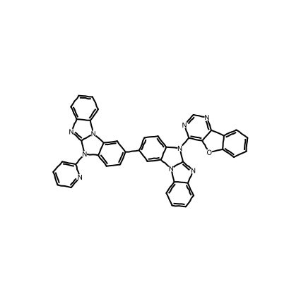 c1ccc(-n2c3ccc(-c4ccc5c(c4)n4c6ccccc6nc4n5-c4ncnc5c4oc4ccccc45)cc3n3c4ccccc4nc23)nc1